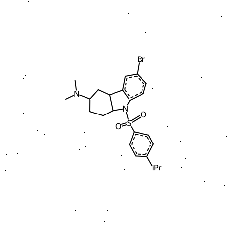 CC(C)c1ccc(S(=O)(=O)N2c3ccc(Br)cc3C3CC(N(C)C)CCC32)cc1